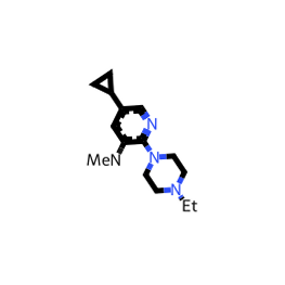 CCN1CCN(c2ncc(C3CC3)cc2NC)CC1